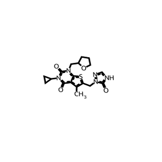 Cc1c(Cn2nc[nH]c2=O)sc2c1c(=O)n(C1CC1)c(=O)n2CC1CCCO1